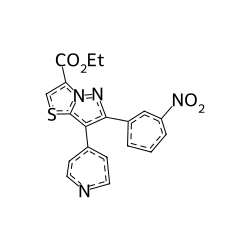 CCOC(=O)c1csc2c(-c3ccncc3)c(-c3cccc([N+](=O)[O-])c3)nn12